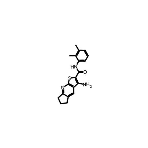 Cc1cccc(NC(=O)c2sc3nc4c(cc3c2N)CCC4)c1C